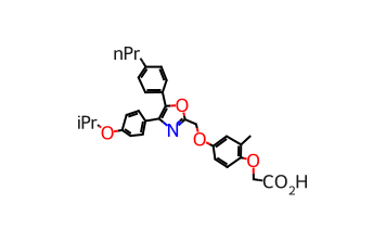 CCCc1ccc(-c2oc(COc3ccc(OCC(=O)O)c(C)c3)nc2-c2ccc(OC(C)C)cc2)cc1